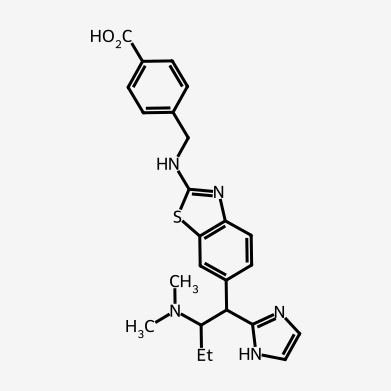 CCC(C(c1ccc2nc(NCc3ccc(C(=O)O)cc3)sc2c1)c1ncc[nH]1)N(C)C